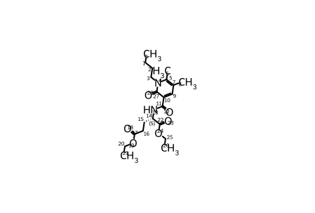 CCCCn1c(C)c(C)cc(C(=O)N[C@@H](CCC(=O)OCC)C(=O)OCC)c1=O